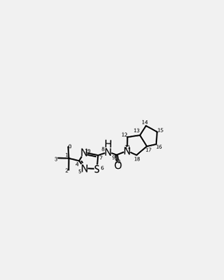 CC(C)(C)c1nsc(NC(=O)N2CC3CCCC3C2)n1